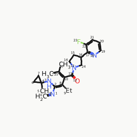 C=N/C(NC1(C)CC1)=C(\CC)C(C(=O)N1CCC(c2ncccc2F)C1)=C(C)C